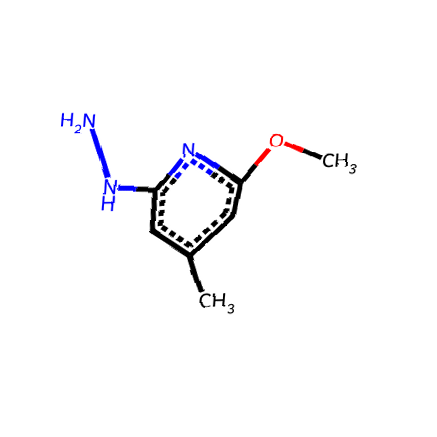 COc1cc(C)cc(NN)n1